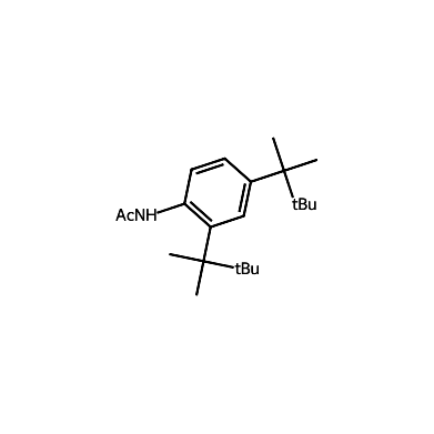 CC(=O)Nc1ccc(C(C)(C)C(C)(C)C)cc1C(C)(C)C(C)(C)C